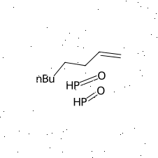 C=CCCCCCC.O=P.O=P